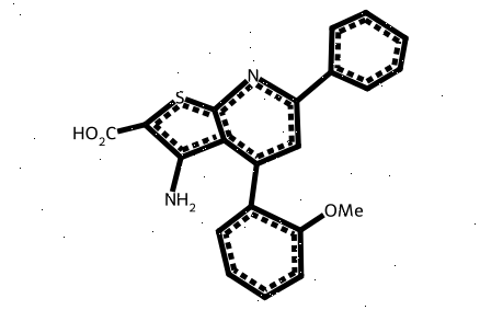 COc1ccccc1-c1cc(-c2ccccc2)nc2sc(C(=O)O)c(N)c12